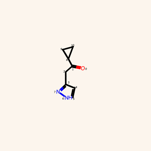 O=C(Cc1[c]c[nH]n1)C1CC1